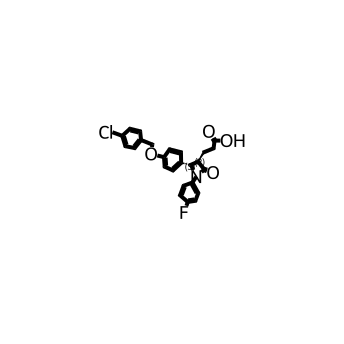 O=C(O)CC[C@H]1C(=O)N(c2ccc(F)cc2)[C@@H]1c1ccc(OCc2ccc(Cl)cc2)cc1